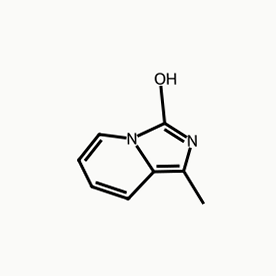 Cc1nc(O)n2ccccc12